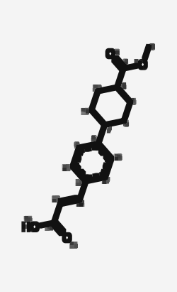 COC(=O)C1CCC(c2ccc(C=CC(=O)O)cc2)CC1